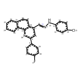 Fc1ccc(-c2cc(/C=N/Nc3ccc(Cl)cc3)c3ccc4ccccc4c3n2)cc1